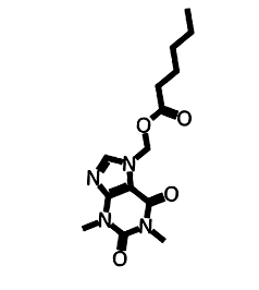 CCCCCC(=O)OCn1cnc2c1c(=O)n(C)c(=O)n2C